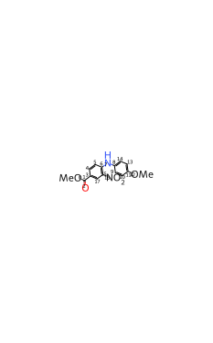 COC(=O)c1ccc(Nc2ccc(OC)cc2)c([N+](=O)[O-])c1